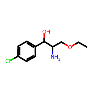 CCOCC(N)C(O)c1ccc(Cl)cc1